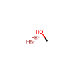 Br.Br.CO